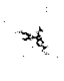 C=C(C)Nc1sc2c(c1-c1nc(=C/C)/c(=C\C=N\O)s1)CCN(C(=O)OC(C)(C)C)C2